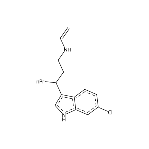 C=CNCCC(CCC)c1c[nH]c2cc(Cl)ccc12